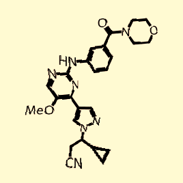 COc1cnc(Nc2cccc(C(=O)N3CCOCC3)c2)nc1-c1cnn(C(CC#N)C2CC2)c1